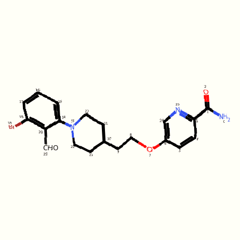 NC(=O)c1ccc(OCCC2CCN(c3cccc(Br)c3C=O)CC2)cn1